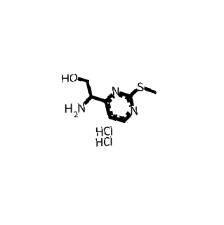 CSc1nccc(C(N)CO)n1.Cl.Cl